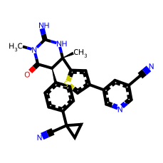 CN1C(=N)N[C@](C)(c2cc(-c3cncc(C#N)c3)cs2)[C@@H](c2ccc(C3(C#N)CC3)cc2)C1=O